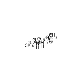 C=CS(=O)(=O)CCNC(=O)NC(=O)CCCl